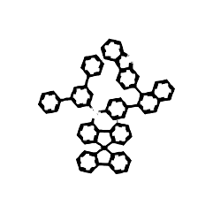 c1ccc(-c2cc(-c3ccccc3)cc(N(c3ccc(-c4ccc5ccccc5c4-c4ccc5c(c4)oc4ccccc45)cc3)c3cccc4c3-c3ccccc3C43c4ccccc4-c4ccccc43)c2)cc1